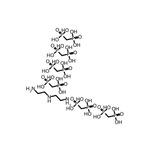 NCCNCCN.O=P(O)(O)CP(=O)(O)O.O=P(O)(O)CP(=O)(O)O.O=P(O)(O)CP(=O)(O)O.O=P(O)(O)CP(=O)(O)O.O=P(O)(O)CP(=O)(O)O.O=P(O)(O)CP(=O)(O)O